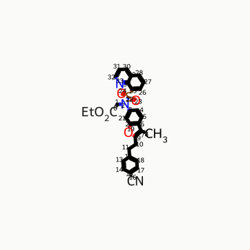 CCOC(=O)CN(c1ccc2c(C)c(CCc3ccc(C#N)cc3)oc2c1)S(=O)(=O)c1cccc2cccnc12